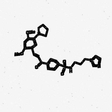 COc1cc(OC)c(N2CCCC2)cc1C=CC(=O)c1ccc(S(=O)(=O)NCCCn2ccnc2)cc1